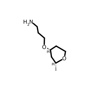 C[C@@H]1C[C@H](OCCCN)CCO1